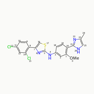 COc1cc(Nc2nc(-c3ccc(Cl)cc3Cl)cs2)ccc1-c1nc(C)c[nH]1